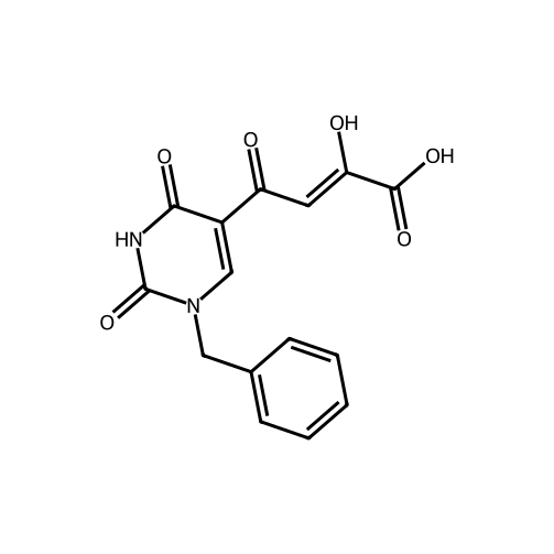 O=C(O)C(O)=CC(=O)c1cn(Cc2ccccc2)c(=O)[nH]c1=O